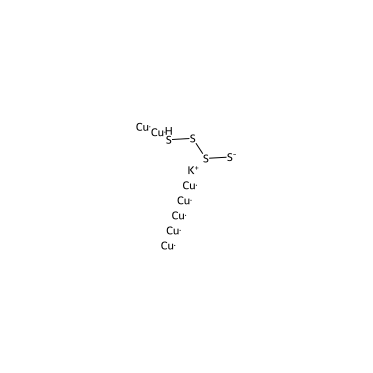 [Cu].[Cu].[Cu].[Cu].[Cu].[Cu].[Cu].[K+].[S-]SSS